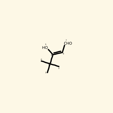 CC(C)(C)C(O)=CC=O